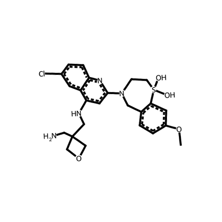 COc1ccc2c(c1)S(O)(O)CCN(c1cc(NCC3(CN)COC3)c3cc(Cl)ccc3n1)C2